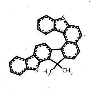 CC1(C)c2ccc3ccc4sc5ccccc5c4c3c2-c2ccc3c(sc4ccccc43)c21